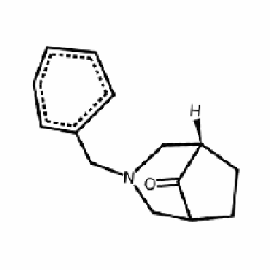 O=C1C2CC[C@H]1CN(Cc1ccccc1)C2